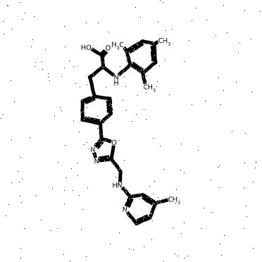 Cc1ccnc(NCc2nnc(-c3ccc(CC(Nc4c(C)cc(C)cc4C)C(=O)O)cc3)o2)c1